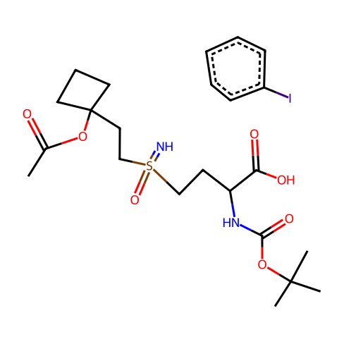 CC(=O)OC1(CCS(=N)(=O)CCC(NC(=O)OC(C)(C)C)C(=O)O)CCC1.Ic1ccccc1